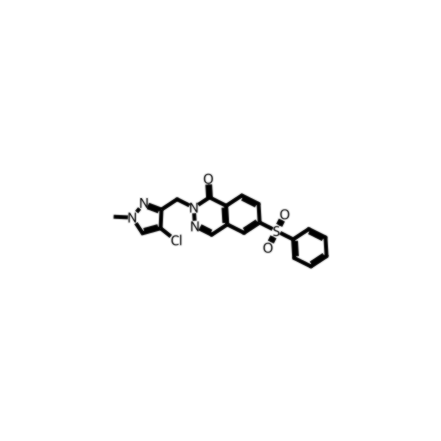 Cn1cc(Cl)c(Cn2ncc3cc(S(=O)(=O)c4ccccc4)ccc3c2=O)n1